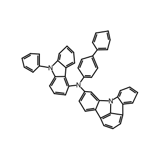 c1ccc(-c2ccc(N(c3ccc4c5cccc6c7ccccc7n(c4c3)c65)c3cccc4c3c3ccccc3n4-c3ccccc3)cc2)cc1